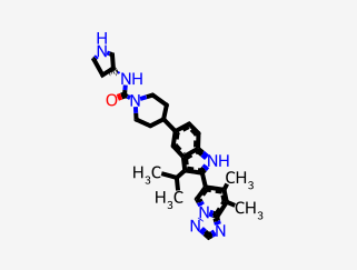 Cc1c(-c2[nH]c3ccc(C4CCN(C(=O)N[C@@H]5CCNC5)CC4)cc3c2C(C)C)cn2ncnc2c1C